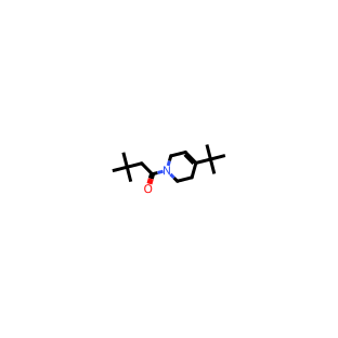 CC(C)(C)CC(=O)N1CC=C(C(C)(C)C)CC1